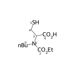 CCCCN(C(=O)OCC)C(CS)C(=O)O